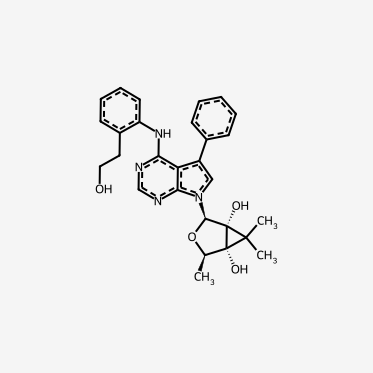 C[C@H]1O[C@@H](n2cc(-c3ccccc3)c3c(Nc4ccccc4CCO)ncnc32)[C@@]2(O)C(C)(C)[C@@]12O